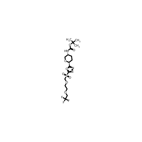 CC(C)(C)OC(=O)N[C@@H]1CC[C@@H](c2nnc(S(=O)(=O)COCCOCC(F)(F)F)o2)OC1